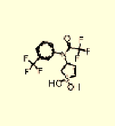 O=C(N(c1cccc(C(F)(F)F)c1)C1C=CS(O)(O)C1)C(F)(F)F